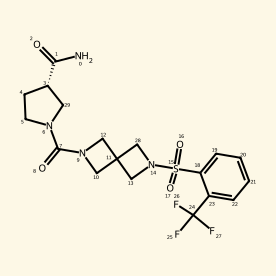 NC(=O)[C@H]1CCN(C(=O)N2CC3(C2)CN(S(=O)(=O)c2ccccc2C(F)(F)F)C3)C1